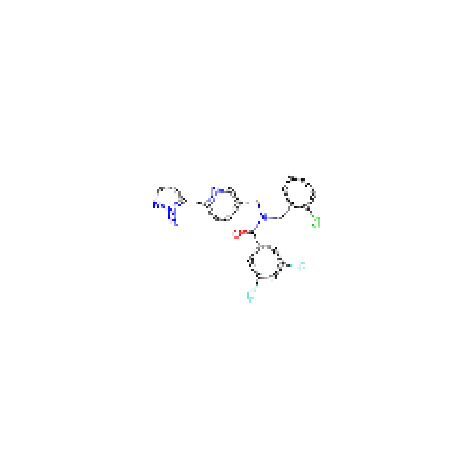 O=C(c1cc(F)cc(F)c1)N(Cc1ccc(-c2ccn[nH]2)nc1)Cc1ccccc1Cl